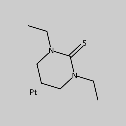 CCN1CCCN(CC)C1=S.[Pt]